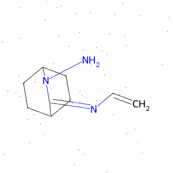 C=C/N=C1/C2CCC(CC2)N1N